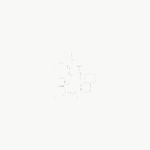 CN[C@@H](C)C(=O)N[C@H]1CCSCC2CC3(CCCC3)[C@@H](C(=O)N[C@@H]3CCOc4ccccc43)N2C1=O